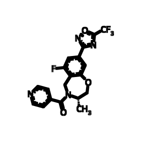 C[C@H]1COc2cc(-c3noc(C(F)(F)F)n3)cc(F)c2CN1C(=O)c1ccncc1